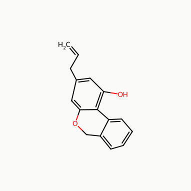 C=CCc1cc(O)c2c(c1)OCc1ccccc1-2